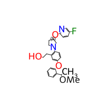 COC(C)c1ccccc1Oc1ccc(N2CC[C@H](Oc3ccc(F)cn3)C2)c(CCO)c1